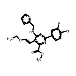 CCO/C=C/c1c(NCc2ccco2)nc(-c2ccc(Cl)c(F)c2)nc1C(=O)OC